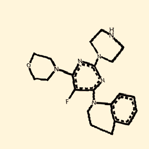 Fc1c(N2CCOCC2)nc(N2CCNCC2)nc1N1CCCc2ccccc21